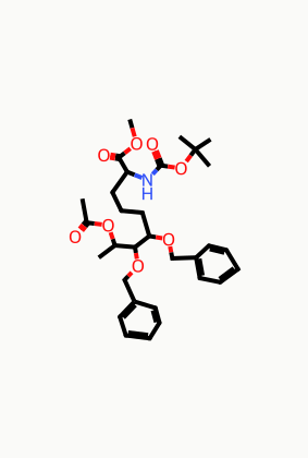 COC(=O)C(CCCC(OCc1ccccc1)C(OCc1ccccc1)C(C)OC(C)=O)NC(=O)OC(C)(C)C